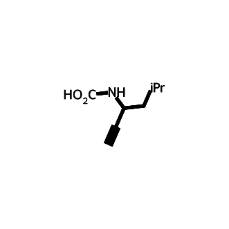 C#CC(CC(C)C)NC(=O)O